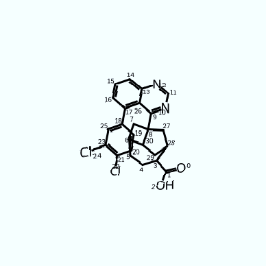 O=C(O)C1CCC2CC3(c4ncnc5cccc(-c6ccc(Cl)c(Cl)c6)c45)CC1CC23